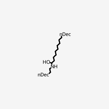 CCCCCCCCCCCCCCCCCCCC(O)NCCCCCCCCCCCC